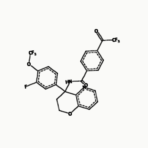 O=C(NC1(c2ccc(OC(F)(F)F)c(F)c2)CCOc2cccnc21)c1ccc(C(=O)C(F)(F)F)cc1